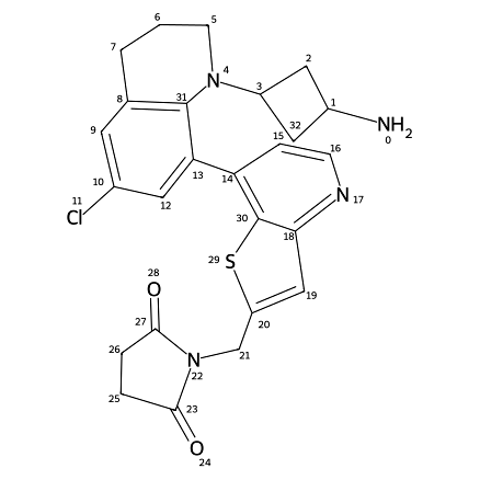 NC1CC(N2CCCc3cc(Cl)cc(-c4ccnc5cc(CN6C(=O)CCC6=O)sc45)c32)C1